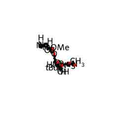 COc1cc(OCCCCCC(=O)N[C@H](C(=O)N2C[C@H](O)C[C@H]2C(=O)NCc2ccc(-c3scnc3C)cc2)C(C)(C)C)ccc1NC(=O)c1cccc(-c2ccn[nH]2)n1